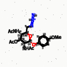 COc1ccc(O[C@H]2O[C@H](CN=[N+]=[N-])[C@@H](NC(C)=O)[C@H](OC(C)=O)[C@H]2NC(C)=O)cc1